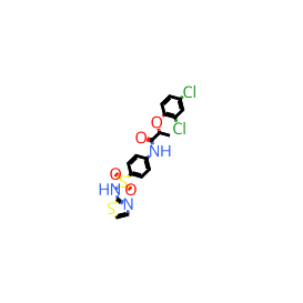 CC(Oc1ccc(Cl)cc1Cl)C(=O)Nc1ccc(S(=O)(=O)Nc2nccs2)cc1